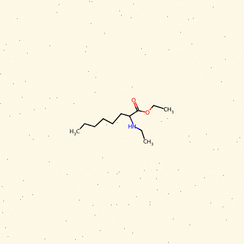 CCCCCCC(NCC)C(=O)OCC